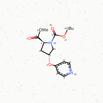 COC(=O)[C@@H]1C[C@@H](Oc2ccncc2)CN1C(=O)OC(C)(C)C